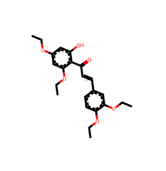 CCOc1cc(O)c(C(=O)/C=C/c2ccc(OCC)c(OCC)c2)c(OCC)c1